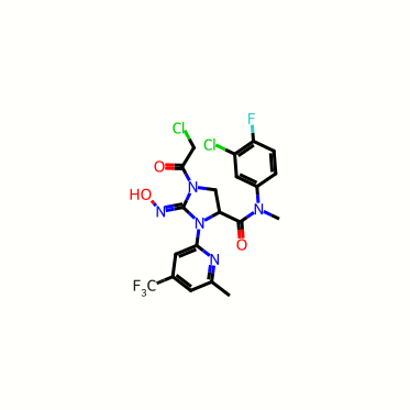 Cc1cc(C(F)(F)F)cc(N2/C(=N/O)N(C(=O)CCl)CC2C(=O)N(C)c2ccc(F)c(Cl)c2)n1